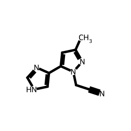 Cc1cc(-c2c[nH]cn2)n(CC#N)n1